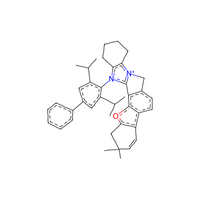 CC(C)c1cc(-c2ccccc2)cc(C(C)C)c1-n1c2c([n+]3c1-c1c(ccc4c5c(oc14)CC(C)(C)C=C5)C3)CCCC2